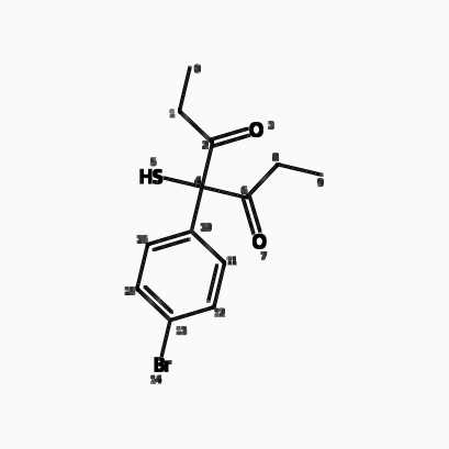 CCC(=O)C(S)(C(=O)CC)c1ccc(Br)cc1